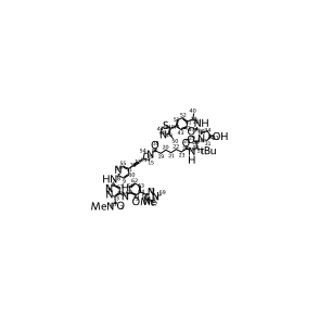 CNC(=O)c1nnc(Nc2ccc(C#CC3CN(C(=O)CCCCCC(=O)NC(C(=O)N4C[C@H](O)C[C@H]4C(=O)NC(C)c4ccc(-c5scnc5C)cc4)C(C)(C)C)C3)cn2)cc1Nc1cccc(-c2ncn(C)n2)c1OC